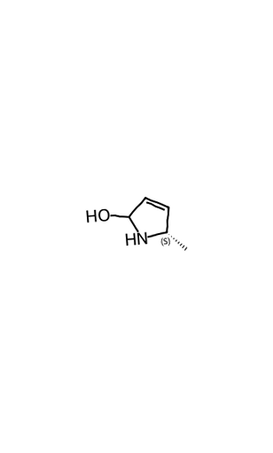 C[C@H]1C=CC(O)N1